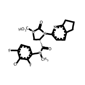 CN(C(=O)[C@@H]1CN(C(=O)O)C(=O)N1c1ccc2c(n1)CCC2)c1ccc(F)c(Cl)c1F